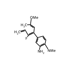 C=C/C(F)=C(\C=C(/C)OC)c1ccc(NC)c(N)c1